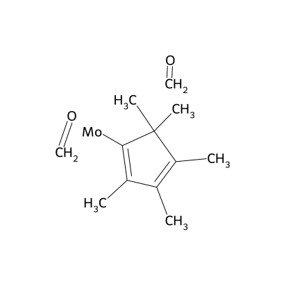 C=O.C=O.CC1=C(C)C(C)(C)[C]([Mo])=C1C